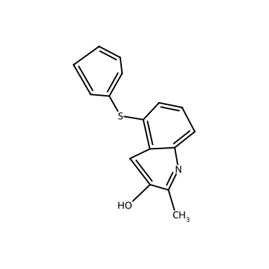 Cc1nc2cccc(Sc3ccccc3)c2cc1O